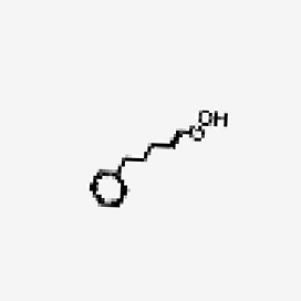 OOC=CCCCc1ccccc1